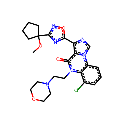 COC1(c2noc(-c3ncn4c3c(=O)n(CCN3CCOCC3)c3c(Cl)cccc34)n2)CCCC1